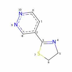 c1cc(C2=NCCS2)cnn1